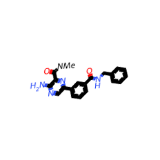 CNC(=O)c1nc(-c2cccc(C(=O)NCc3ccccc3)c2)cnc1N